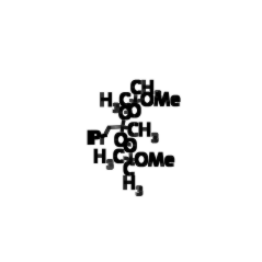 COC(C)(C)OOC(C)(CC(C)C)OOC(C)(C)OC